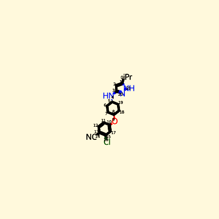 CC(C)c1cc(N[C@H]2CC[C@H](Oc3ccc(C#N)c(Cl)c3)CC2)n[nH]1